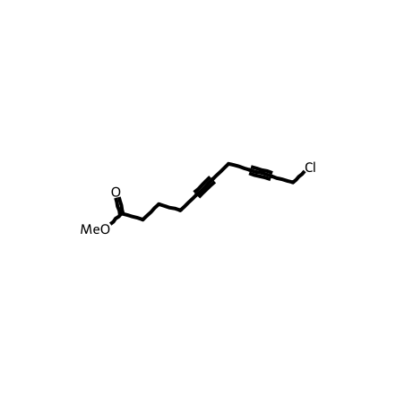 COC(=O)CCCC#CCC#CCCl